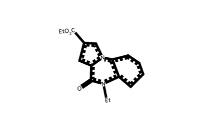 CCOC(=O)c1cc2c(=O)n(CC)c3ccccc3n2c1